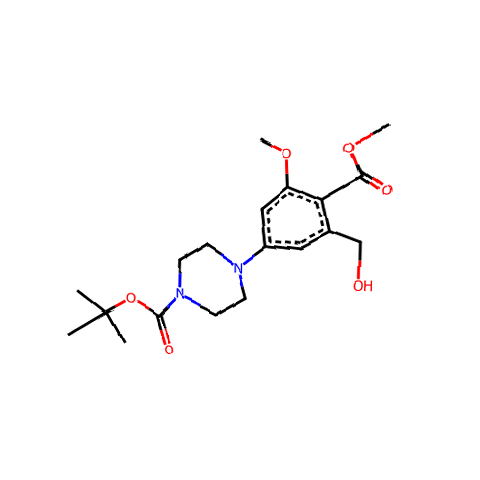 COC(=O)c1c(CO)cc(N2CCN(C(=O)OC(C)(C)C)CC2)cc1OC